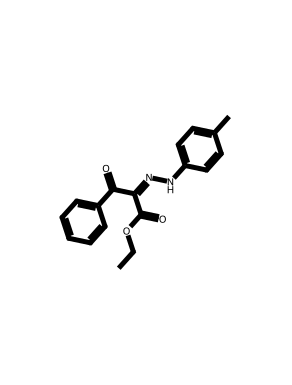 CCOC(=O)/C(=N\Nc1ccc(C)cc1)C(=O)c1ccccc1